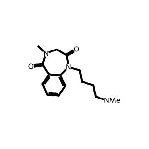 CNCCCCN1C(=O)CN(C)C(=O)c2ccccc21